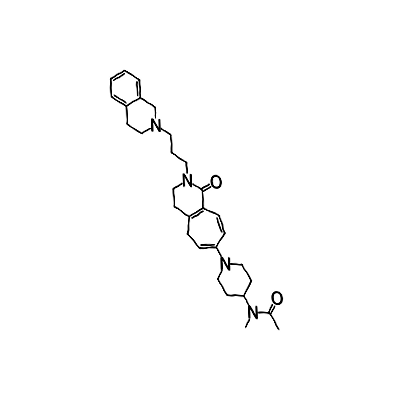 CC(=O)N(C)C1CCN(C2=CCC3=C(C=C2)C(=O)N(CCCN2CCc4ccccc4C2)CC3)CC1